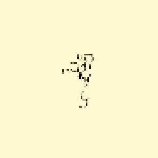 COc1cc(C)ccc1N1c2ccc(F)cc2[C@@H]2CN(CCCCN3CCCCC3=O)CC[C@H]21